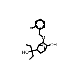 CCC(O)(CC)C1CC2OC1C(OCc1ccccc1F)C2O